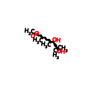 CC(=O)OC/C=C(\C)CC/C=C(\C)C(O)C#CC(C)(C)O